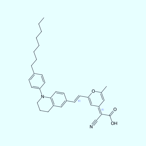 CCCCCCCCc1ccc(N2CCCc3cc(/C=C/C4=CC(=C(\C#N)C(=O)O)/C=C(C)O4)ccc32)cc1